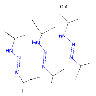 CC(C)N=NNC(C)C.CC(C)N=NNC(C)C.CC(C)N=NNC(C)C.[Ga]